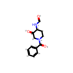 O=CNC1CCN(C(=O)c2ccccc2)CC1=O